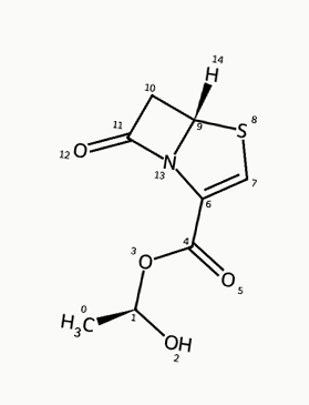 C[C@H](O)OC(=O)C1=CS[C@H]2CC(=O)N12